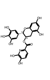 O=C(O[C@@H]1Cc2c(O)cc(O)cc2O[C@H]1c1cc(O)c(O)c(O)c1)c1ccc(O)c(O)n1